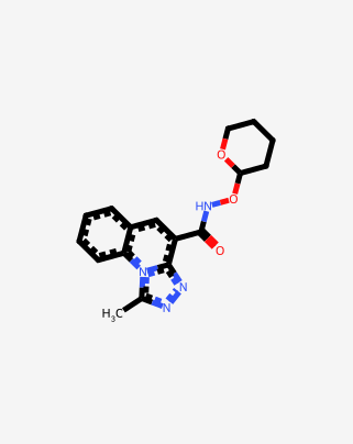 Cc1nnc2c(C(=O)NOC3CCCCO3)cc3ccccc3n12